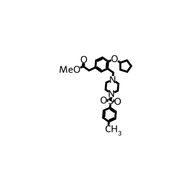 COC(=O)Cc1ccc(OC2CCCC2)c(CN2CCN(S(=O)(=O)c3ccc(C)cc3)CC2)c1